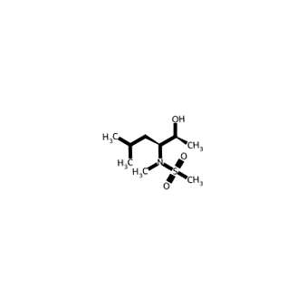 CC(C)C[C@@H]([C@H](C)O)N(C)S(C)(=O)=O